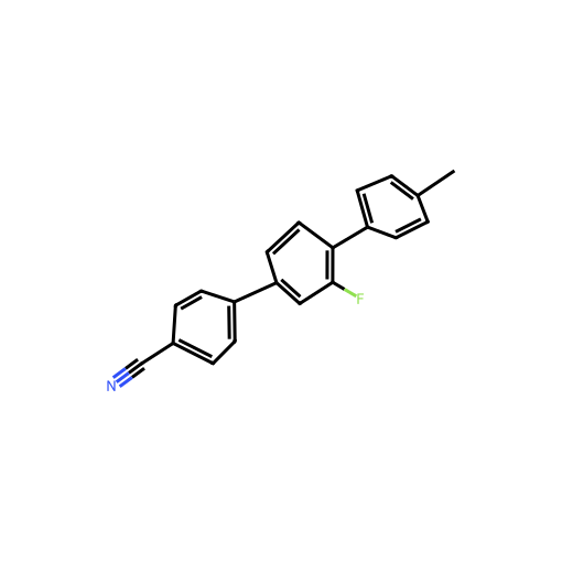 Cc1ccc(-c2ccc(-c3ccc(C#N)cc3)cc2F)cc1